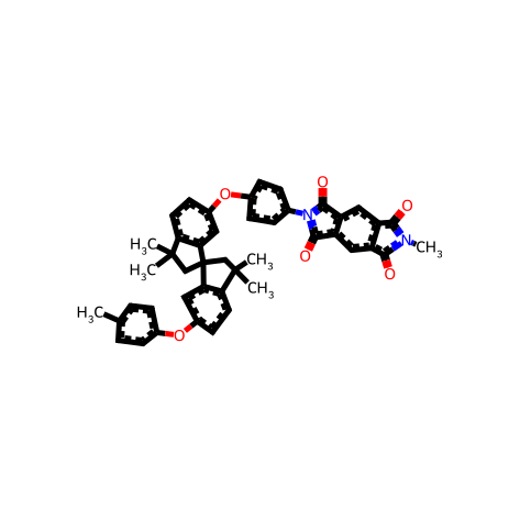 Cc1ccc(Oc2ccc3c(c2)C2(CC3(C)C)CC(C)(C)c3ccc(Oc4ccc(-n5c(=O)c6cc7c(=O)n(C)c(=O)c7cc6c5=O)cc4)cc32)cc1